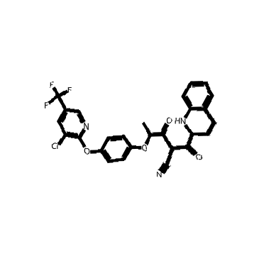 CC(Oc1ccc(Oc2ncc(C(F)(F)F)cc2Cl)cc1)C(=O)C(C#N)C(=O)C1CCc2ccccc2N1